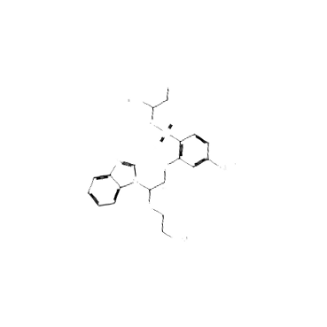 COCCSC([C@@H](C)Oc1cc(NC(C)=O)ccc1S(=O)(=O)NC(C=O)CC(=O)O)n1cnc2ccccc21